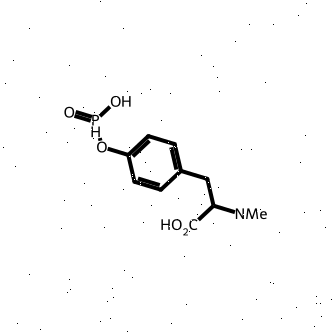 CNC(Cc1ccc(O[PH](=O)O)cc1)C(=O)O